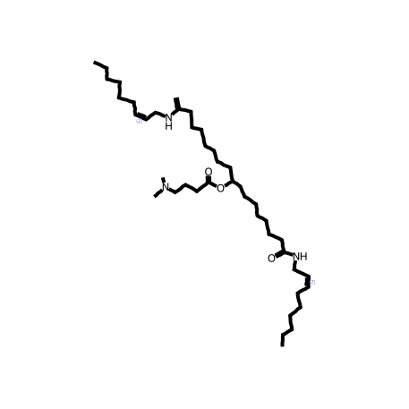 C=C(CCCCCCCC(CCCCCCCC(=O)NC/C=C\CCCCCC)OC(=O)CCCN(C)C)NC/C=C\CCCCCC